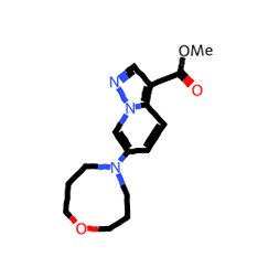 COC(=O)c1cnn2cc(N3CCCOCCC3)ccc12